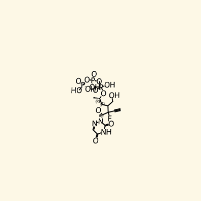 C#CC1(F)C(CO)[C@@H]([C@@H](C)OP(=O)(O)OP(=O)(O)OP(=O)(O)O)O[C@H]1n1ncc(=O)[nH]c1=O